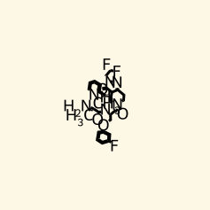 CC(C)(N)C(=O)NC(COc1cccc(F)c1)C(=O)N1CCC2=NN(CC(F)F)C(=O)[C@]2(Cc2ccccn2)C1